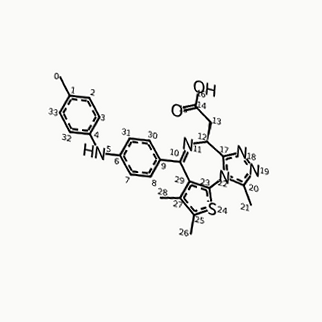 Cc1ccc(Nc2ccc(C3=N[C@@H](CC(=O)O)c4nnc(C)n4-c4sc(C)c(C)c43)cc2)cc1